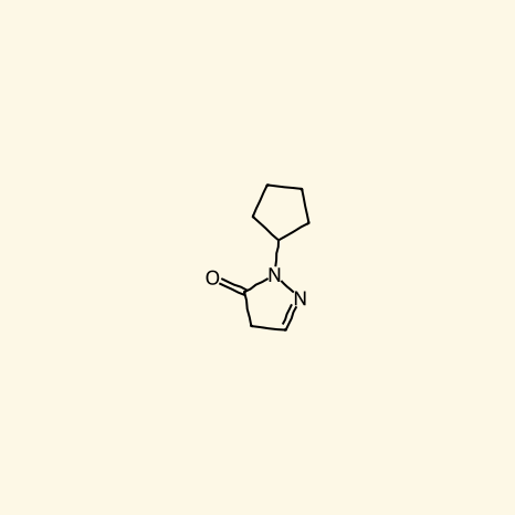 O=C1CC=NN1C1CCCC1